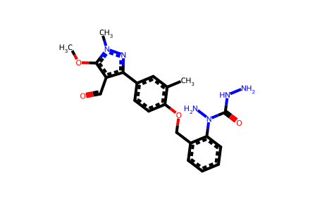 COc1c(C=O)c(-c2ccc(OCc3ccccc3N(N)C(=O)NN)c(C)c2)nn1C